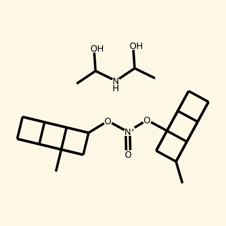 CC(O)NC(C)O.CC12C3C4C5C3C1C5(O[N+](=O)OC13C5C6C7C5C1C7(C)C63)C42